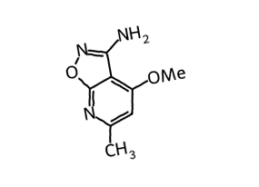 COc1cc(C)nc2onc(N)c12